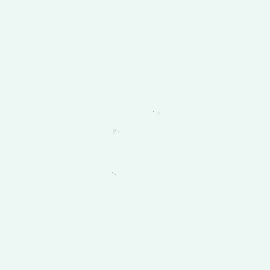 O=[N+]([O-])c1cc(C(F)(F)F)c(Cl)c([N+](=O)[O-])c1Nc1ccccc1C(F)(F)F